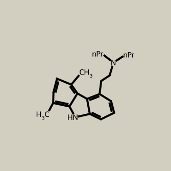 CCCN(CCC)CCc1cccc2[nH]c3c(C)ccc(C)c3c12